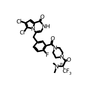 CN(C)[C@H](C(=O)N1CCN(C(=O)c2cc(Cc3c[nH]c(=O)c4cc(Cl)c(Cl)n34)ccc2F)CC1)C(F)(F)F